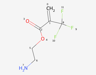 C=C(C(=O)OCCN)C(F)(F)F